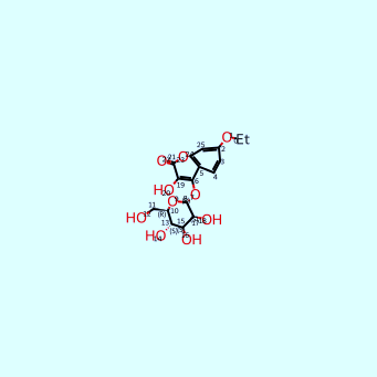 CCOc1ccc2c(O[C@H]3O[C@H](CO)[C@@H](O)[C@H](O)[C@@H]3O)c(O)c(=O)oc2c1